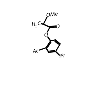 COC(C)C(=O)Oc1ccc(C(C)C)cc1C(C)=O